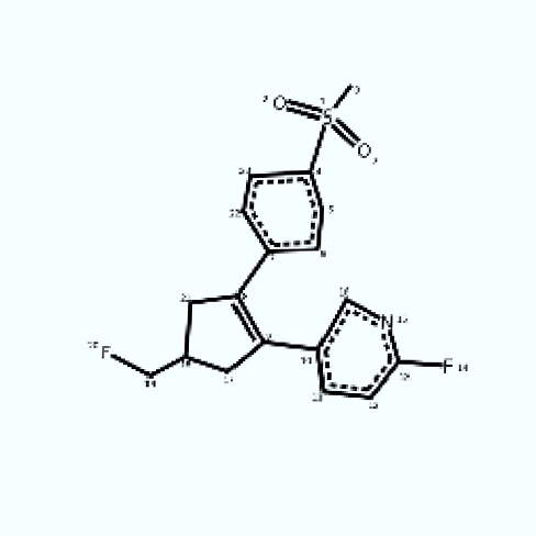 CS(=O)(=O)c1ccc(C2=C(c3ccc(F)nc3)CC(CF)C2)cc1